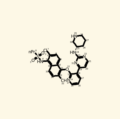 CCCS(=O)(=O)Nc1c(Cl)ccc2c(Oc3ncccc3-c3ccnc(N[C@H]4CCCNC4)n3)c(C)ccc12